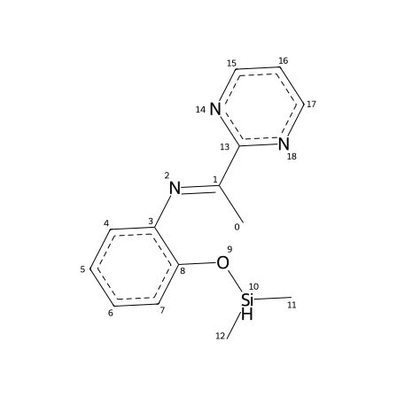 CC(=Nc1ccccc1O[SiH](C)C)c1ncccn1